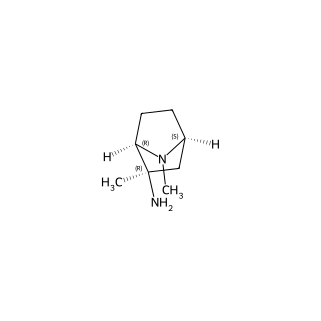 CN1[C@H]2CC[C@@H]1[C@](C)(N)C2